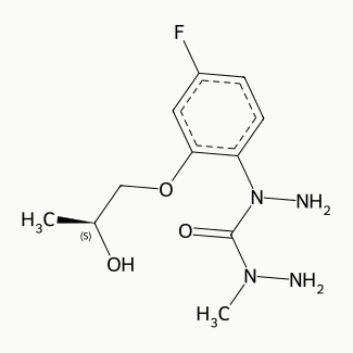 C[C@H](O)COc1cc(F)ccc1N(N)C(=O)N(C)N